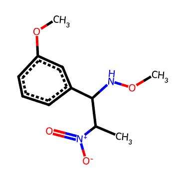 CONC(c1cccc(OC)c1)C(C)[N+](=O)[O-]